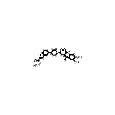 CCCCOC(=O)NCc1cccc(C2CCN(C(=O)Cc3c(C)c4cc(O)c(O)cc4oc3=O)CC2)c1